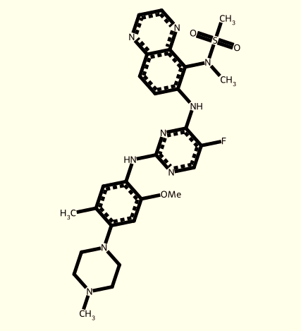 COc1cc(N2CCN(C)CC2)c(C)cc1Nc1ncc(F)c(Nc2ccc3nccnc3c2N(C)S(C)(=O)=O)n1